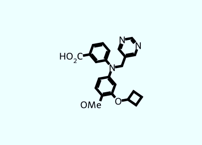 COc1ccc(N(Cc2cncnc2)c2cccc(C(=O)O)c2)cc1OC1CCC1